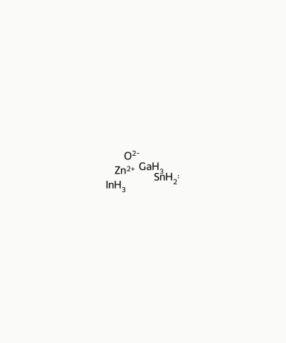 [GaH3].[InH3].[O-2].[SnH2].[Zn+2]